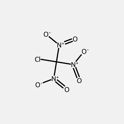 O=[N+]([O-])C(Cl)([N+](=O)[O-])[N+](=O)[O-]